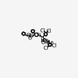 CON=C(COCc1cc(Cl)cc(Cl)c1)C(CCN1CCC2(CC1)CN(C(=O)OCc1ccccc1)c1ccccc12)c1ccc(Cl)c(Cl)c1